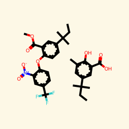 CCC(C)(C)c1cc(C)c(O)c(C(=O)O)c1.CCC(C)(C)c1ccc(Oc2ccc(C(F)(F)F)cc2[N+](=O)[O-])c(C(=O)OC)c1